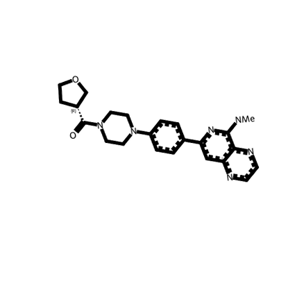 CNc1nc(-c2ccc(N3CCN(C(=O)[C@@H]4CCOC4)CC3)cc2)cc2nccnc12